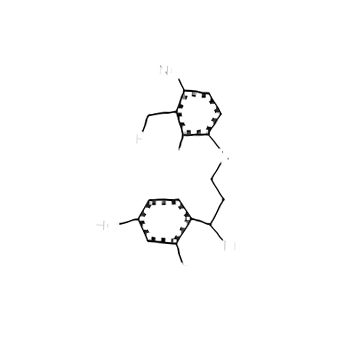 CCC(CCNc1ccc(C#N)c(CF)c1F)c1ccc(O)cc1F